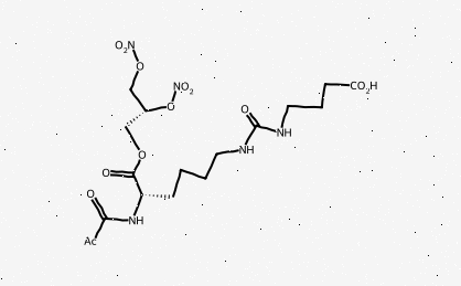 CC(=O)C(=O)N[C@@H](CCCCNC(=O)NCCCC(=O)O)C(=O)OC[C@H](CO[N+](=O)[O-])O[N+](=O)[O-]